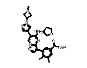 CNC(=O)c1cc(C)c(F)c(-c2cnn3cc(-c4cnn(C5CN(C)C5)c4)c(N[C@H]4CCOC4)nc23)c1